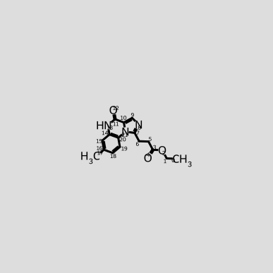 CCOC(=O)CCc1ncc2c(=O)[nH]c3cc(C)ccc3n12